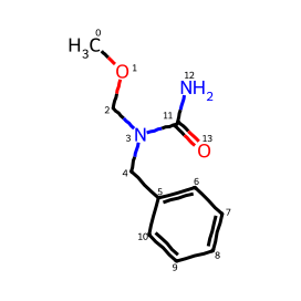 COCN(Cc1ccccc1)C(N)=O